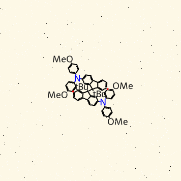 COc1ccc(N(c2ccc(OC)cc2)c2ccc3c(c2)C(C(C)(C)C)(C2(C(C)(C)C)c4ccccc4-c4ccc(N(c5ccc(OC)cc5)c5ccc(OC)cc5)cc42)c2ccccc2-3)cc1